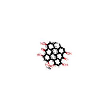 Cc1cc(O)c2c(=O)c3c(O)cc(O)c4c5c(O)cc(O)c6c(=O)c7c(O)cc(C)c8c1c2c(c34)c(c78)c65.[KH]